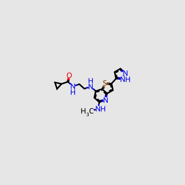 CNc1cc(NCCNC(=O)C2CC2)c2sc(-c3ccn[nH]3)cc2n1